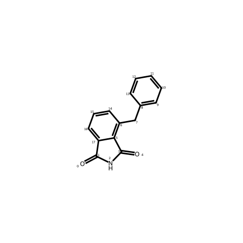 O=C1NC(=O)c2c(Cc3ccccc3)cccc21